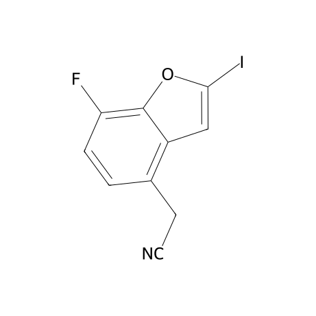 N#CCc1ccc(F)c2oc(I)cc12